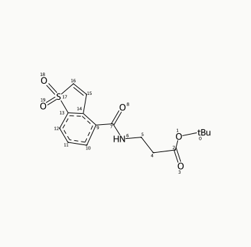 CC(C)(C)OC(=O)CCNC(=O)c1cccc2c1C=CS2(=O)=O